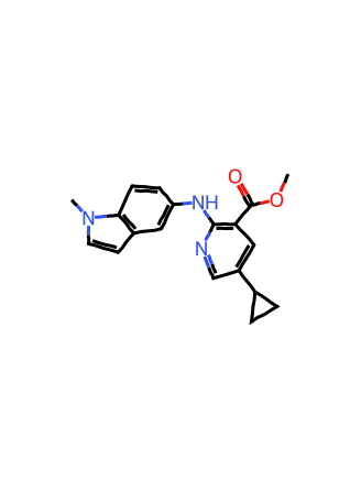 COC(=O)c1cc(C2CC2)cnc1Nc1ccc2c(ccn2C)c1